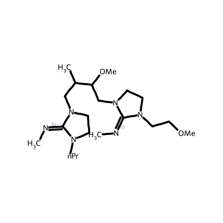 CCCN1CCN(CC(C)C(CN2CCN(CCOC)/C2=N/C)OC)/C1=N/C